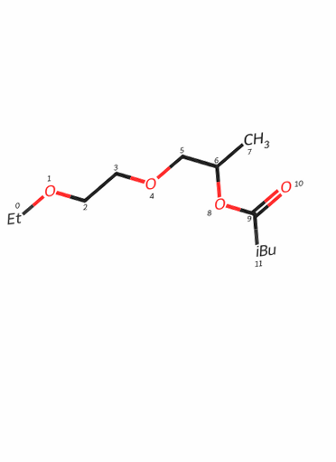 CCOCCOCC(C)OC(=O)C(C)CC